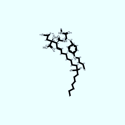 CCCCCCCC(F)(F)CCCCCC/C=C/[C@H](C(=O)N[C@@H](Cc1ccc(OCCCC)cc1)C(=O)NC)[C@@](O)(CC(F)F)C(=O)O